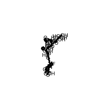 CC[C@@]1(O)C(=O)OCc2c1cc1n(c2=O)Cc2cc3c(CCCCOCNC(=O)CNC(=O)[C@H](Cc4ccccc4)NC(=O)CNC(=O)[C@H](CCC(=O)NC[C@H](O)[C@@H](O)[C@H](O)[C@H](O)CO)NC(=O)C(C)(C)CC(C)(C)N4C(=O)C=CC4=O)c(C)c(F)cc3nc2-1